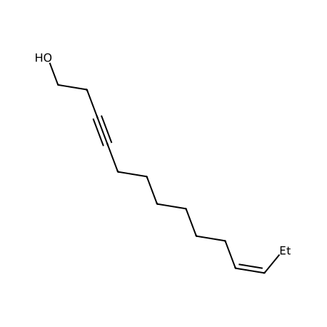 CC/C=C\CCCCCCC#CCCO